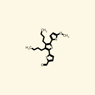 CCCCc1c(-c2ccc(C=O)s2)sc(-c2ccc(OC)s2)c1CCCC